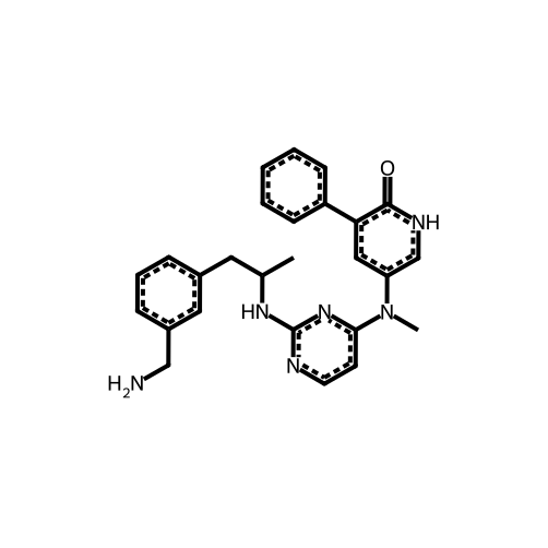 CC(Cc1cccc(CN)c1)Nc1nccc(N(C)c2c[nH]c(=O)c(-c3ccccc3)c2)n1